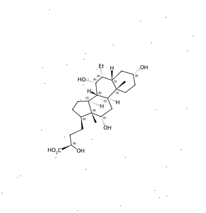 CC[C@H]1[C@@H](O)[C@@H]2[C@H](C[C@H](O)[C@]3(C)[C@@H](CC[C@@H](O)C(=O)O)CC[C@@H]23)[C@@]2(C)CC[C@@H](O)C[C@@H]12